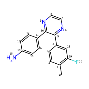 Cc1ccc(-c2nccnc2-c2ccc(N)cc2)cc1F